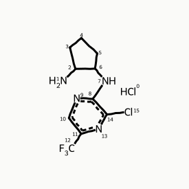 Cl.NC1CCCC1Nc1ncc(C(F)(F)F)nc1Cl